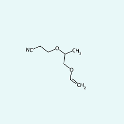 C=COCC(C)OCCC#N